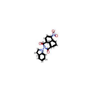 O=C1c2cccc3c([N+](=O)[O-])ccc(c23)C(=O)N1N1CCc2ccccc21